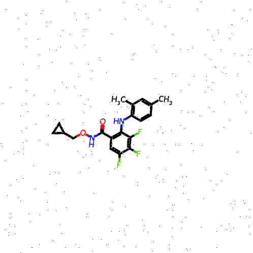 Cc1ccc(Nc2c(C(=O)NOCC3CC3)cc(F)c(F)c2F)c(C)c1